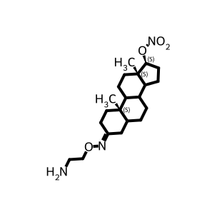 C[C@]12CCC(=NOCCN)CC1CCC1C2CC[C@@]2(C)C1CC[C@@H]2O[N+](=O)[O-]